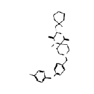 CN1C(=O)[C@@H](CC2(O)CCCCC2)NC(=O)C12CCN(Cc1ccc(Oc3ccc(C(=O)O)cc3)cc1)CC2.Cl